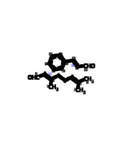 CC(C)=CCC/C(C)=C/C=O.O=C/C=C/c1ccccc1